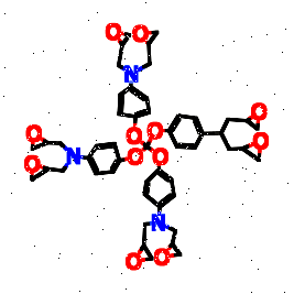 c1cc(C(CC2CO2)CC2CO2)ccc1OC(Oc1ccc(N(CC2CO2)CC2CO2)cc1)(Oc1ccc(N(CC2CO2)CC2CO2)cc1)Oc1ccc(N(CC2CO2)CC2CO2)cc1